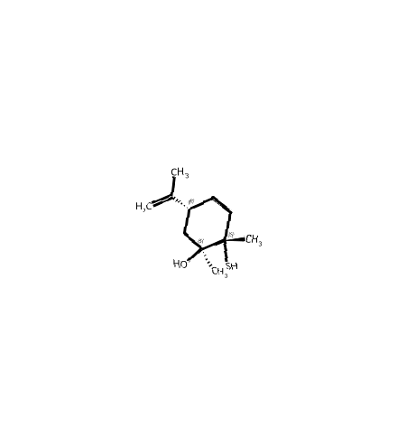 C=C(C)[C@@H]1CC[C@](C)(S)[C@@](C)(O)C1